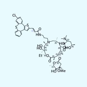 CC[C@H]1OC(=O)[C@H](C)[C@@H](O[C@H]2C[C@@](C)(OC)[C@@H](O)[C@H](C)O2)[C@H](C)[C@@H](O[C@@H]2O[C@H](C)C[C@H](N(C)C)[C@H]2O)[C@](C)(O)C[C@@H](C)CN(CCCNC(=O)/C=C/c2cc3c(s2)-c2ccc(Cl)cc2Sc2ccccc2-3)[C@H](C)[C@@H](O)[C@]1(C)O